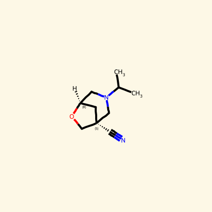 CC(C)N1C[C@H]2C[C@](C#N)(CO2)C1